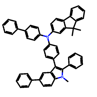 Cn1c(-c2ccccc2)c(-c2ccc(N(c3ccc(-c4ccccc4)cc3)c3ccc4c(c3)C(C)(C)c3ccccc3-4)cc2)c2cc(-c3ccccc3)ccc21